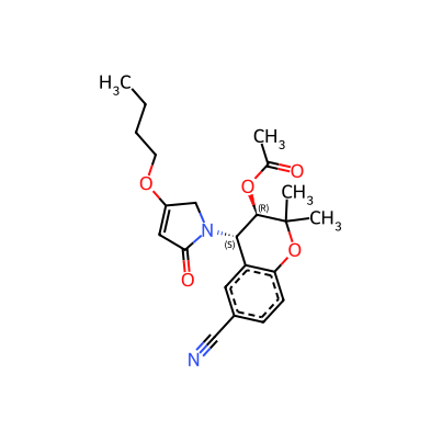 CCCCOC1=CC(=O)N([C@H]2c3cc(C#N)ccc3OC(C)(C)[C@@H]2OC(C)=O)C1